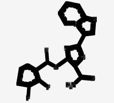 NC(=O)c1sc(-c2cnc3ccccn23)nc1OC(F)c1cccc(F)c1F